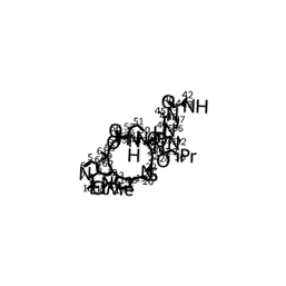 CCn1c(-c2cccnc2[C@H](C)OC)c2c3cc(ccc31)-c1csc(n1)C[C@H](NC(=O)C(C(C)C)N(C)C(=O)N1CCN(C(=O)[C@H]3CN3)[C@H](C)C1)C(=O)N1CCC[C@H](N1)C(=O)OCC(C)(C)C2